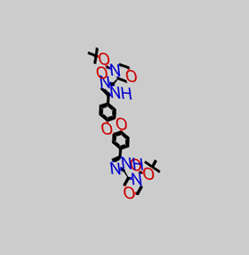 CC(C)(C)OC(=O)N1CCOC[C@H]1c1ncc(-c2ccc3c(c2)Oc2ccc(-c4cnc([C@@H]5COCCN5C(=O)OC(C)(C)C)[nH]4)cc2O3)[nH]1